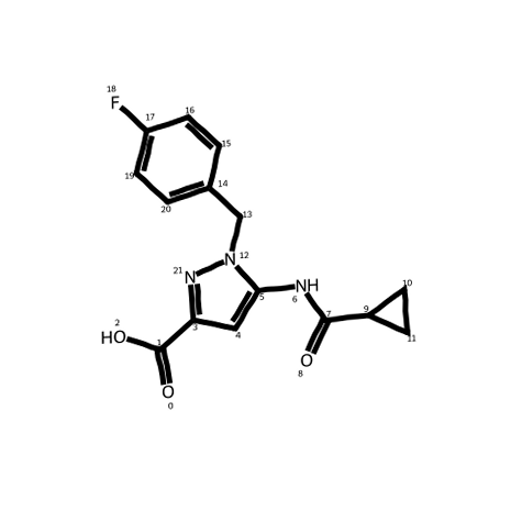 O=C(O)c1cc(NC(=O)C2CC2)n(Cc2ccc(F)cc2)n1